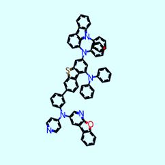 c1ccc(N(c2ccccc2)c2cc(N(c3ccccc3)c3cccc4c5ccccc5n(-c5ccccc5)c34)cc3sc4cc(-c5cccc(N(c6ccncc6)c6cnc7oc8ccccc8c7c6)c5)ccc4c23)cc1